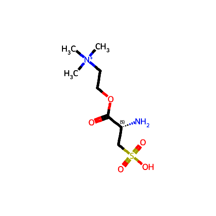 C[N+](C)(C)CCOC(=O)[C@H](N)CS(=O)(=O)O